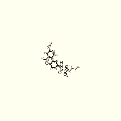 CCCC[N+]([O-])(OC)C(=O)Nc1ccc(OC(C)c2ccnc(SC)c2)cc1